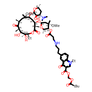 CC[C@@H]1OC(=O)[C@H](C)[C@H](O[C@@H]2C[C@](C)(OC)[C@H](OC(=O)CCNCCCc3ccc4c(c3)c(=O)c(C(=O)OCOC(=O)C(C)(C)C)cn4CC)[C@H](C)O2)[C@@H](C)[C@H](O[C@@H]2O[C@H](C)C[C@H](N(C)C)[C@@H]2O)[C@](C)(OC)C[C@H](C)C(=O)[C@H](C)[C@@H](O)[C@]1(C)O